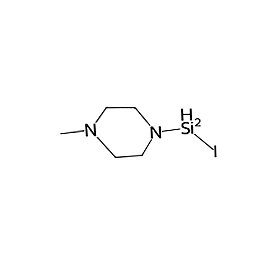 CN1CCN([SiH2]I)CC1